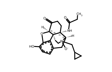 CCC(=O)N[C@@]12CCC(=O)[C@@H]3Oc4c(O)ccc5c4[C@@]31CC[N+]([O-])(CC1CC1)[C@@H]2C5